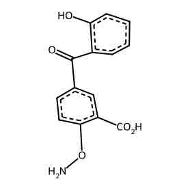 NOc1ccc(C(=O)c2ccccc2O)cc1C(=O)O